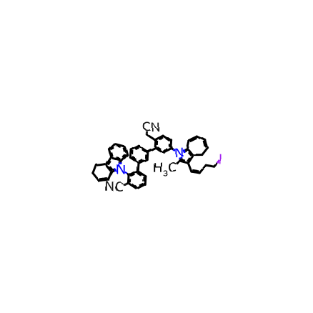 Cc1c(/C=C\CCI)c2c(n1-c1ccc(CC#N)c(-c3cccc(-c4cccc(C#N)c4-n4c5c(c6ccccc64)CCC=C5)c3)c1)C=CC=CC2